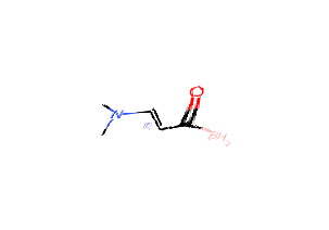 BC(=O)/C=C/N(C)C